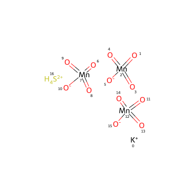 [K+].[O]=[Mn](=[O])(=[O])[O-].[O]=[Mn](=[O])(=[O])[O-].[O]=[Mn](=[O])(=[O])[O-].[SH4+2]